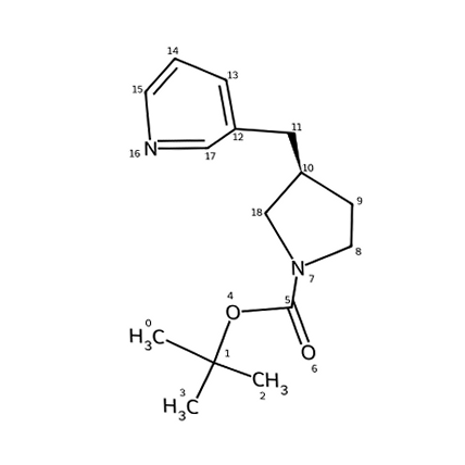 CC(C)(C)OC(=O)N1CC[C@H](Cc2cccnc2)C1